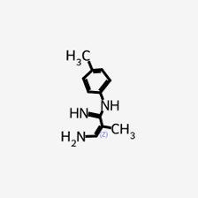 C/C(=C/N)C(=N)Nc1ccc(C)cc1